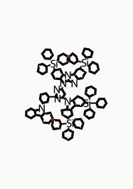 c1ccc([Si](c2ccccc2)(c2ccccc2)c2ccc3c(c2)c2cc([Si](c4ccccc4)(c4ccccc4)c4ccccc4)ccc2n3-c2cc(-n3c4ccc([Si](c5ccccc5)(c5ccccc5)c5ccccc5)cc4n4c5cc([Si](c6ccccc6)(c6ccccc6)c6ccccc6)ccc5nc34)nc(-c3cccc(-n4c5ccccc5c5ccccc54)c3)n2)cc1